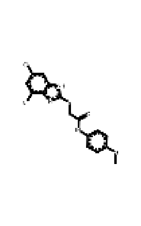 COc1ccc(NC(=O)CSc2nc3c(Cl)cc(Cl)cc3[nH]2)cc1